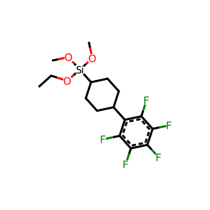 CCO[Si](OC)(OC)C1CCC(c2c(F)c(F)c(F)c(F)c2F)CC1